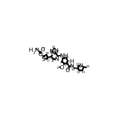 COc1cc(Nc2ncc(-c3csc(OC(N)=O)c3)n3ncnc23)ccc1C(=O)NCc1ccc(C)nc1